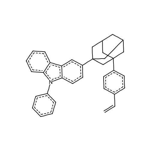 C=Cc1ccc(C23CC4CC(C2)CC(c2ccc5c(c2)c2ccccc2n5-c2ccccc2)(C4)C3)cc1